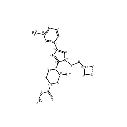 CC(C)(C)OC(=O)N1CC[C@@H](c2nc(-c3ccnc(C(F)(F)F)c3)cn2CCN2CCC2)[C@@H](F)C1